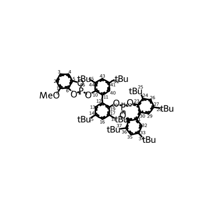 COc1cccc2c1OP(Oc1c(-c3cc(C(C)(C)C)cc(C(C)(C)C)c3Op3oc4c(C(C)(C)C)cc(C(C)(C)C)cc4c4cc(C(C)(C)C)cc(C(C)(C)C)c4o3)cc(C(C)(C)C)cc1C(C)(C)C)O2